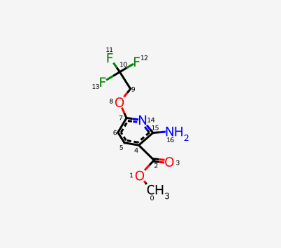 COC(=O)c1ccc(OCC(F)(F)F)nc1N